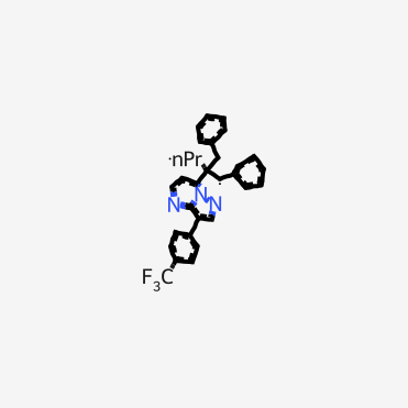 CC[CH]C([CH]c1ccccc1)(Cc1ccccc1)c1ccnc2c(-c3ccc(C(F)(F)F)cc3)cnn12